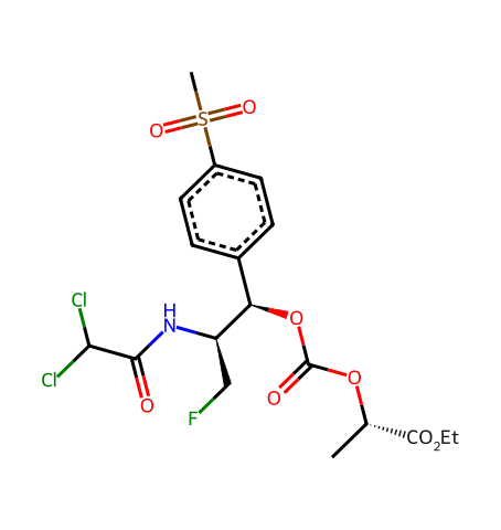 CCOC(=O)[C@H](C)OC(=O)O[C@H](c1ccc(S(C)(=O)=O)cc1)[C@@H](CF)NC(=O)C(Cl)Cl